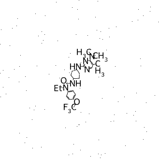 CCN(C(=O)NC1CCC(Nc2ncc(C)c(N(C)C)n2)CC1)c1ccc(OC(F)(F)F)cc1